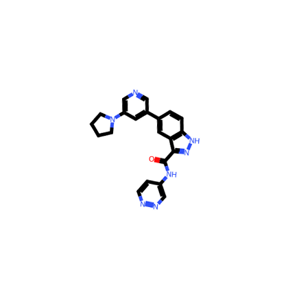 O=C(Nc1ccnnc1)c1n[nH]c2ccc(-c3cncc(N4CCCC4)c3)cc12